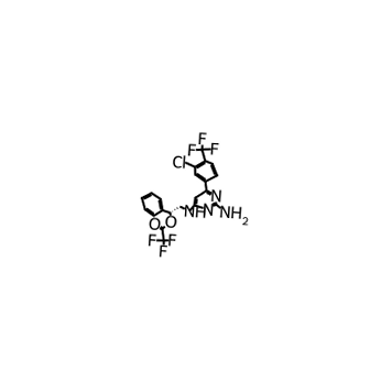 Nc1nc(NC[C@H](OC(=O)C(F)(F)F)c2ccccc2)cc(-c2ccc(C(F)(F)F)c(Cl)c2)n1